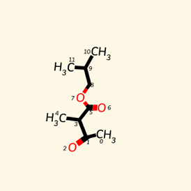 CC(=O)C(C)C(=O)OCC(C)C